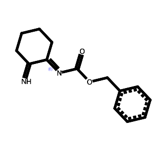 N=C1CCCC/C1=N\C(=O)OCc1ccccc1